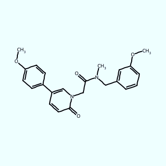 COc1ccc(-c2ccc(=O)n(CC(=O)N(C)Cc3cccc(OC)c3)c2)cc1